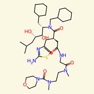 CC(C)C[C@H](O)[C@H](O)[C@H](CC1CCCCC1)N(CC1CCCCC1)C(=O)[C@@H](CC(=O)NCC(=O)N(C)CCN(C)C(=O)N1CCOCC1)Cc1csc(N)n1